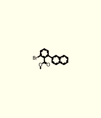 COC(=O)c1c(Br)cccc1-c1ccc2ccccc2c1